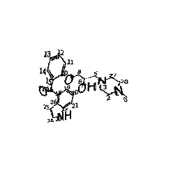 CN1CCN(CC(O)COc2ccccc2C(=O)c2cccc3[nH]ccc23)CC1